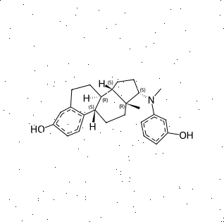 CN(c1cccc(O)c1)[C@H]1CC[C@H]2[C@@H]3CCc4cc(O)ccc4[C@H]3CC[C@@]12C